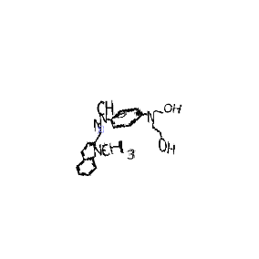 CN(/N=C/c1ccc2ccccc2[n+]1C)c1ccc(N(CCO)CCO)cc1